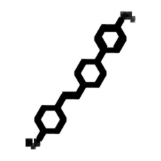 Bc1ccc(C2CCC(/C=C/C3CCC(B)CC3)CC2)cc1